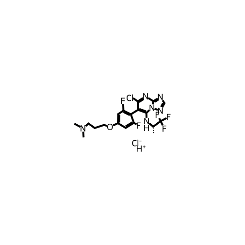 C[C@H](Nc1c(-c2c(F)cc(OCCCN(C)C)cc2F)c(Cl)nc2ncnn12)C(F)(F)F.[Cl-].[H+]